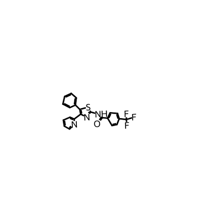 O=C(Nc1nc(-c2ccccn2)c(-c2ccccc2)s1)c1ccc(C(F)(F)F)cc1